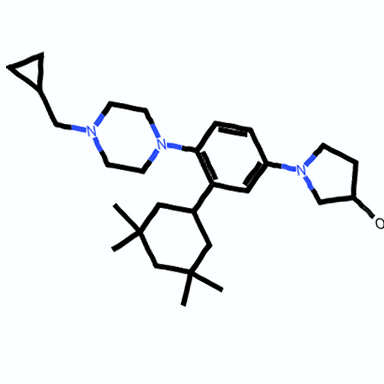 COC1CCN(c2ccc(N3CCN(CC4CC4)CC3)c(C3CC(C)(C)CC(C)(C)C3)c2)C1